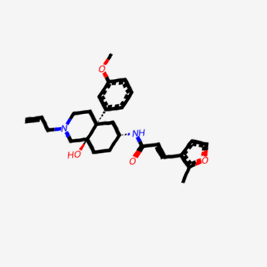 C=CCN1CC[C@@]2(c3cccc(OC)c3)C[C@H](NC(=O)/C=C/c3ccoc3C)CC[C@]2(O)C1